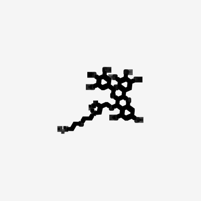 NCCOCCn1cc(COC2c3c(O)cc(O)cc3OC(c3cc(O)c(O)c(O)c3)C2OC(=O)c2cc(O)c(O)c(O)c2)nn1